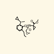 CCCc1cccc([C@H](C)C2CC2)c1OP(=O)(COC)NC1(C(=O)OC)CC1